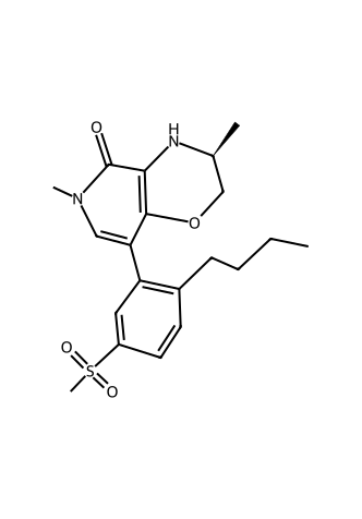 CCCCc1ccc(S(C)(=O)=O)cc1-c1cn(C)c(=O)c2c1OC[C@H](C)N2